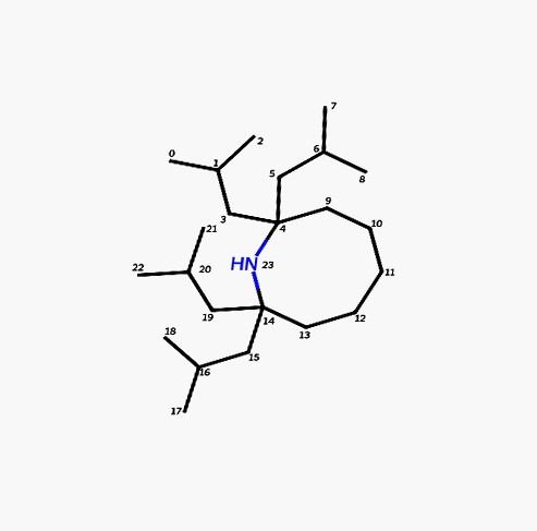 CC(C)CC1(CC(C)C)CCCCCC(CC(C)C)(CC(C)C)N1